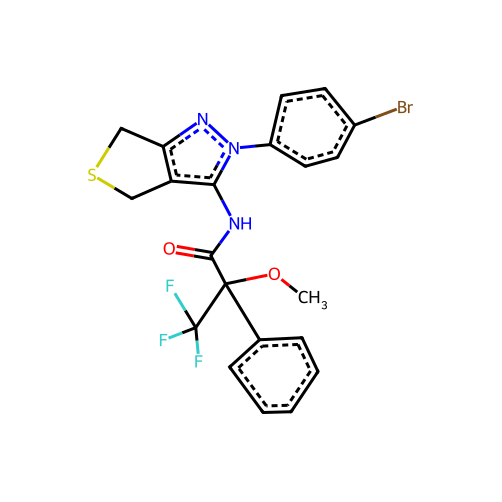 COC(C(=O)Nc1c2c(nn1-c1ccc(Br)cc1)CSC2)(c1ccccc1)C(F)(F)F